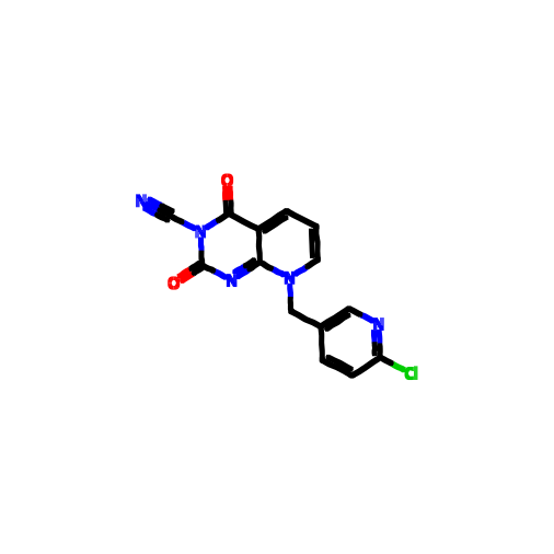 N#Cn1c(=O)nc2n(Cc3ccc(Cl)nc3)cccc-2c1=O